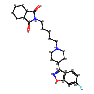 O=C1C2CCCCC2C(=O)N1CCCCCN1CCC(c2noc3cc(F)ccc23)CC1